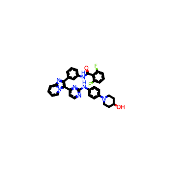 O=C(Nc1cccc(-c2nc3ccccn3c2-c2ccnc(Nc3ccc(N4CCC(O)CC4)cc3)n2)c1)c1c(F)cccc1F